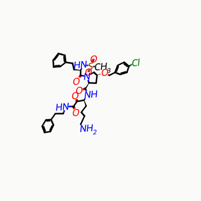 CS(=O)(=O)N[C@H](CCc1ccccc1)C(=O)N1C[C@H](OCc2ccc(Cl)cc2)C[C@H]1C(=O)N[C@@H](CCCCN)C(=O)C(=O)NCCc1ccccc1